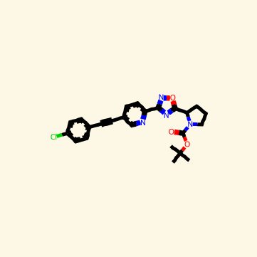 CC(C)(C)OC(=O)N1CCCC1c1nc(-c2ccc(C#Cc3ccc(Cl)cc3)cn2)no1